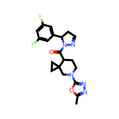 Cc1nnc(N2CCC(C(=O)N3N=CCC3c3cc(F)cc(F)c3)C3(CC3)C2)o1